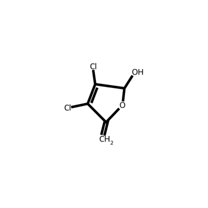 C=C1OC(O)C(Cl)=C1Cl